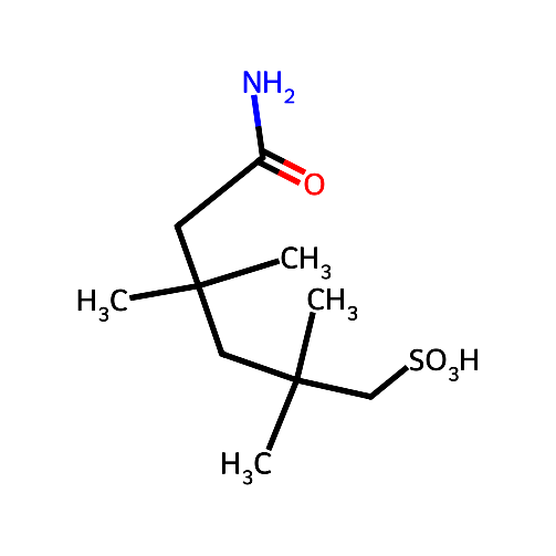 CC(C)(CC(N)=O)CC(C)(C)CS(=O)(=O)O